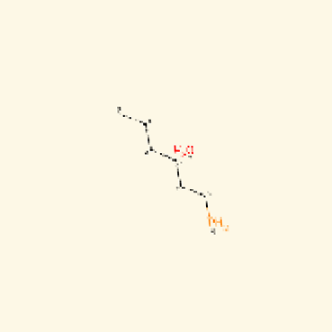 CCCCCCP.O